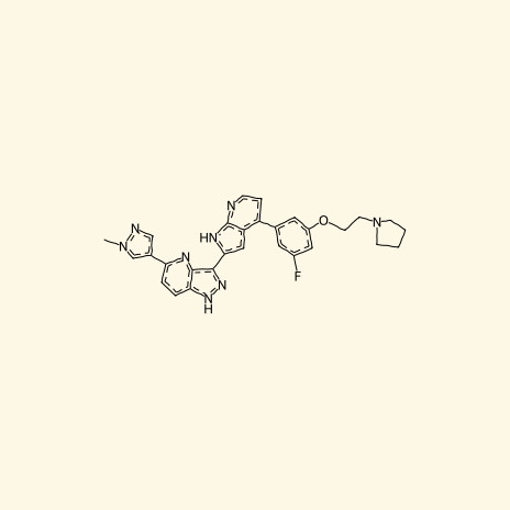 Cn1cc(-c2ccc3[nH]nc(-c4cc5c(-c6cc(F)cc(OCCN7CCCC7)c6)ccnc5[nH]4)c3n2)cn1